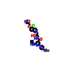 CC(C)(C)N1CCN(c2cc(C(=O)NC[C@H](O)CN3CCc4c(ccc(OCc5cnco5)c4Cl)C3)cc(NC3CCC3)n2)CC1